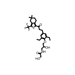 CCc1cc(CCC(=O)c2sc(C(F)(F)F)c3c2CCC(C)(C)C3)cc(CC)c1OCC(O)CNC(=O)CO